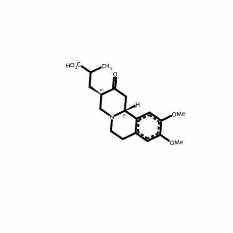 COc1cc2c(cc1OC)[C@H]1CC(=O)[C@H](CC(C)C(=O)O)CN1CC2